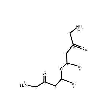 CCC(CC(=O)CN)OC(CC)CC(=O)CN